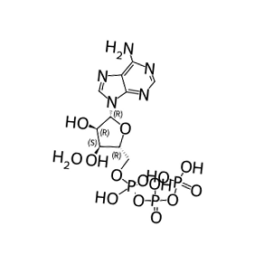 Nc1ncnc2c1ncn2[C@@H]1O[C@H](COP(=O)(O)OP(=O)(O)OP(=O)(O)O)[C@@H](O)[C@H]1O.O